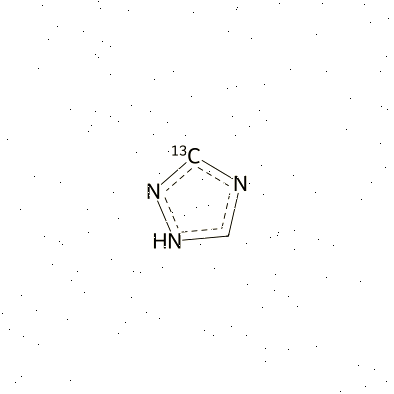 c1n[13cH]n[nH]1